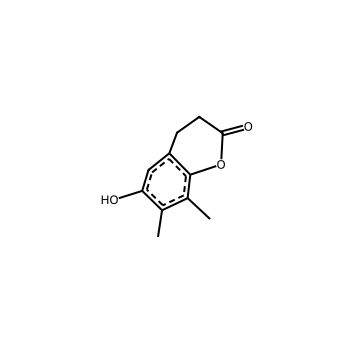 Cc1c(O)cc2c(c1C)OC(=O)CC2